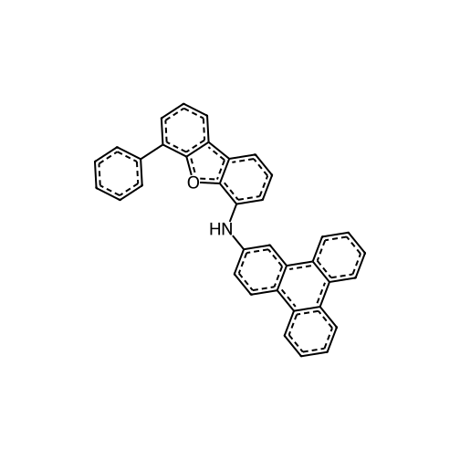 c1ccc(-c2cccc3c2oc2c(Nc4ccc5c6ccccc6c6ccccc6c5c4)cccc23)cc1